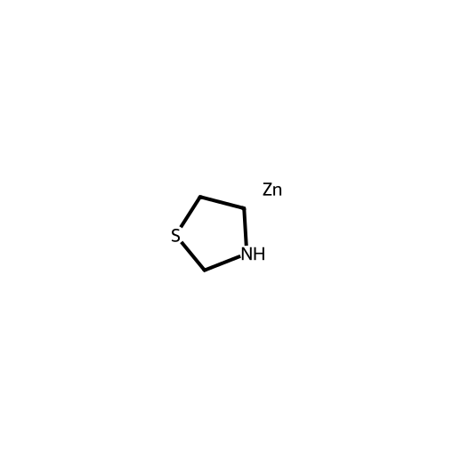 C1CSCN1.[Zn]